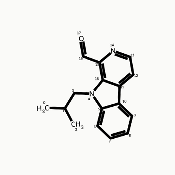 CC(C)Cn1c2ccccc2c2ccnc(C=O)c21